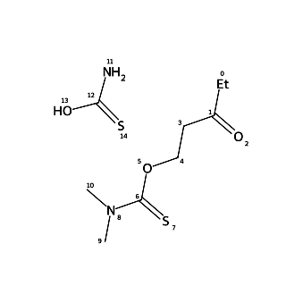 CCC(=O)CCOC(=S)N(C)C.NC(O)=S